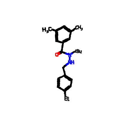 CCc1ccc(CNN(C(=O)c2cc(C)cc(C)c2)C(C)(C)C)cc1